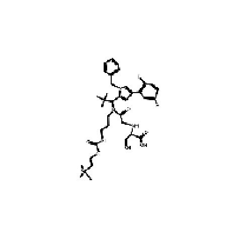 CC(C)(C)C(c1cc(-c2cc(F)ccc2F)cn1Cc1ccccc1)N(CCCNC(=O)OCC[Si](C)(C)C)C(=O)CNC(CS)C(=O)O